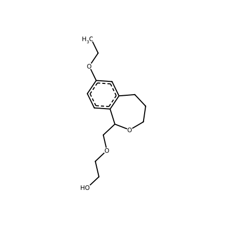 CCOc1ccc2c(c1)CCCOC2COCCO